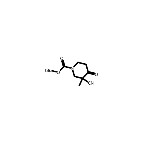 CC(C)(C)OC(=O)N1CCC(=O)C(C)(C#N)C1